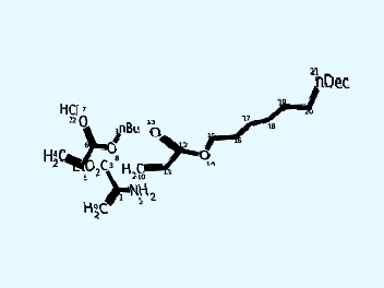 C=C(N)C(=O)OCC.C=CC(=O)OCCCC.C=CC(=O)OCCCCCCCCCCCCCCCC.Cl